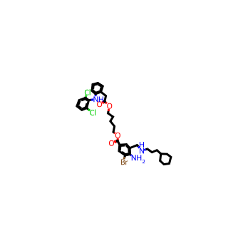 Nc1c(Br)cc(C(=O)OCCCCCOC(=O)Cc2ccccc2Nc2c(Cl)cccc2Cl)cc1CNCCCC1CCCCC1